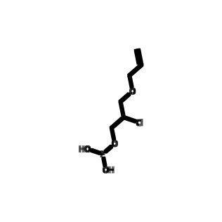 C=CCOCC(Cl)COP(O)O